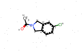 O=C(N1Cc2ccc(Cl)cc2C1)C(F)(F)F